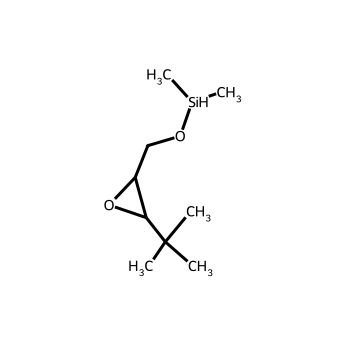 C[SiH](C)OCC1OC1C(C)(C)C